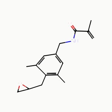 C=C(C)C(=O)NCc1cc(C)c(CC2CO2)c(C)c1